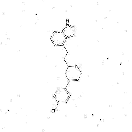 Clc1ccc(C2=CCNC(CCc3cccc4[nH]ccc34)C2)cc1